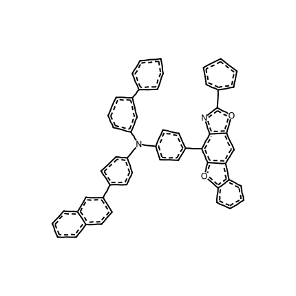 c1ccc(-c2cccc(N(c3ccc(-c4ccc5ccccc5c4)cc3)c3ccc(-c4c5nc(-c6ccccc6)oc5cc5c4oc4ccccc45)cc3)c2)cc1